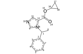 CC(c1ccccc1)n1cncc1C(=O)OC1CC1